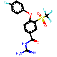 N=C(N)NC(=O)c1ccc(Oc2ccc(F)cc2)c(S(=O)(=O)C(F)(F)F)c1